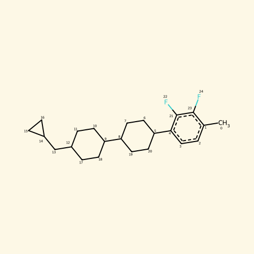 Cc1ccc(C2CCC(C3CCC(CC4CC4)CC3)CC2)c(F)c1F